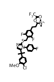 COc1cc(C(C)(C)c2cnc(SCc3c(F)cc(CCC(OC(=O)C(F)(F)F)[N+](C)(C)C)cc3F)n2-c2ccc(F)cc2)ccc1Cl